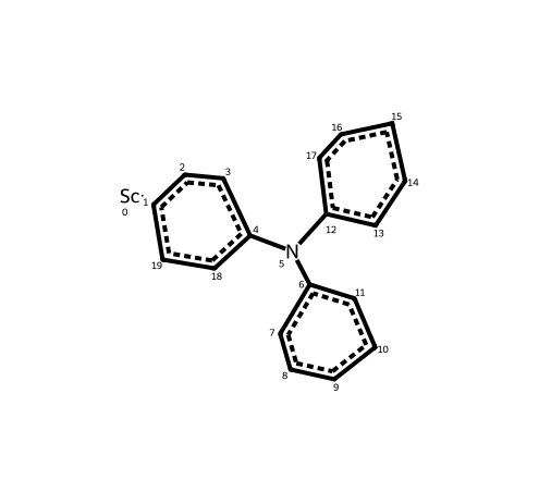 [Sc].c1ccc(N(c2ccccc2)c2ccccc2)cc1